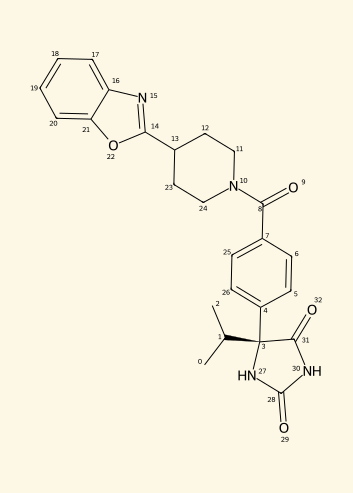 CC(C)[C@]1(c2ccc(C(=O)N3CCC(c4nc5ccccc5o4)CC3)cc2)NC(=O)NC1=O